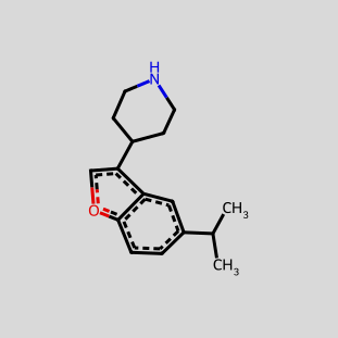 CC(C)c1ccc2occ(C3CCNCC3)c2c1